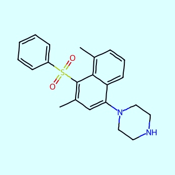 Cc1cc(N2CCNCC2)c2cccc(C)c2c1S(=O)(=O)c1ccccc1